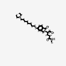 CCN(CC)CCCCCCCCSc1ccc2c(c1)CN(C(C=O)CCC(=O)NC)C2=O